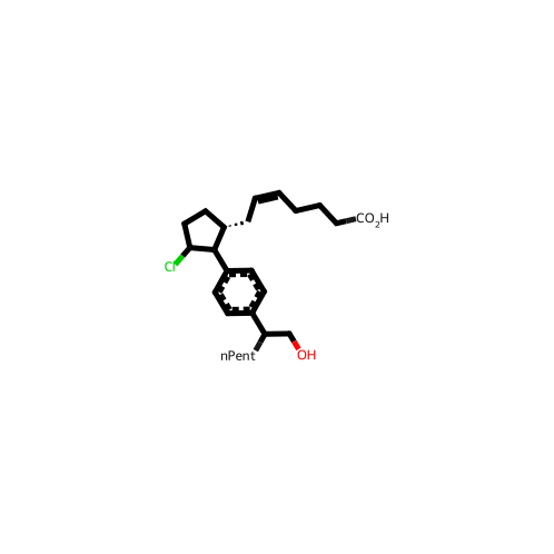 CCCCCC(CO)c1ccc(C2C(Cl)CC[C@@H]2C/C=C\CCCC(=O)O)cc1